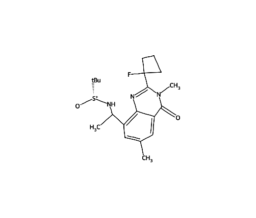 Cc1cc(C(C)N[S@+]([O-])C(C)(C)C)c2nc(C3(F)CCC3)n(C)c(=O)c2c1